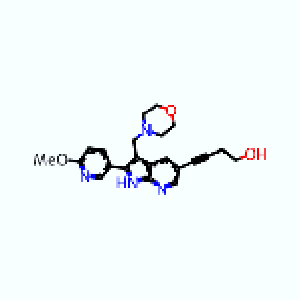 COc1ccc(-c2[nH]c3ncc(C#CCCO)cc3c2CN2CCOCC2)cn1